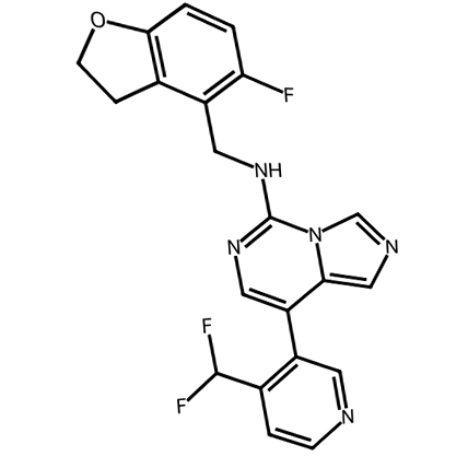 Fc1ccc2c(c1CNc1ncc(-c3cnccc3C(F)F)c3cncn13)CCO2